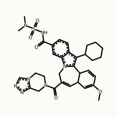 COC1=CC2C=C(C(=O)N3CCn4cnnc4C3)Cn3c(c(C4CCCCC4)c4ccc(C(=O)NS(=O)(=O)N(C)C)cc43)C2C=C1